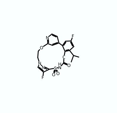 CC(C)c1cc(F)cc2c1CC(=O)NS(=O)(=O)c1nn(cc1F)CCOc1cc-2ccn1